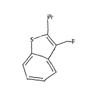 CC(C)c1sc2ccccc2c1F